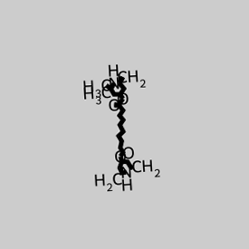 C=C1CC(OC(=O)CCCCCCCCC(=O)OC2CC(=C)NC(C)(C)C2)CC(=C)N1